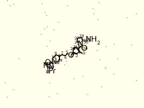 Cc1cc(OCCCC2CCN(c3nc(C(C)C)no3)CC2)ccc1C(=O)N1CCC[C@@H]1CN